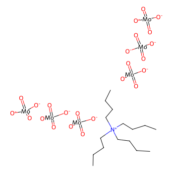 CCCC[N+](CCCC)(CCCC)CCCC.[O]=[Mo](=[O])([O-])[O-].[O]=[Mo](=[O])([O-])[O-].[O]=[Mo](=[O])([O-])[O-].[O]=[Mo](=[O])([O-])[O-].[O]=[Mo](=[O])([O-])[O-].[O]=[Mo](=[O])([O-])[O-]